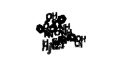 CCC(C)(C)c1cc(NC(=O)NCc2ccccc2Sc2ccc3nnc(-c4ccccc4OCCO)n3c2)n(-c2ccc(O)c(C#N)c2)n1